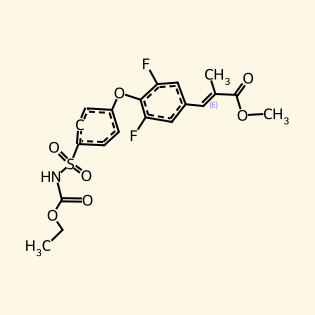 CCOC(=O)NS(=O)(=O)c1ccc(Oc2c(F)cc(/C=C(\C)C(=O)OC)cc2F)cc1